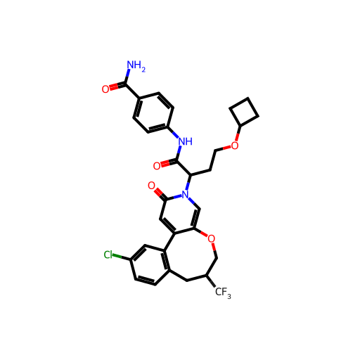 NC(=O)c1ccc(NC(=O)C(CCOC2CCC2)n2cc3c(cc2=O)-c2cc(Cl)ccc2CC(C(F)(F)F)CO3)cc1